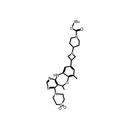 Cc1cc(C2CN(C3CCN(C(=O)OC(C)(C)C)CC3)C2)cc2c1OC(C)c1c(ncnc1N1CCS(=O)(=O)CC1)N2